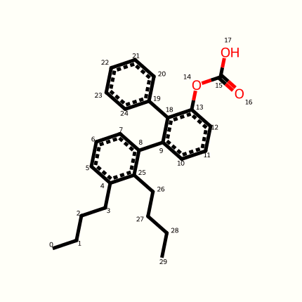 CCCCc1cccc(-c2cccc(OC(=O)O)c2-c2ccccc2)c1CCCC